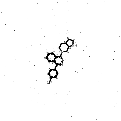 Clc1ccc(-c2nnc(N3CCC4CCNC4C3)c3ccccc23)cc1